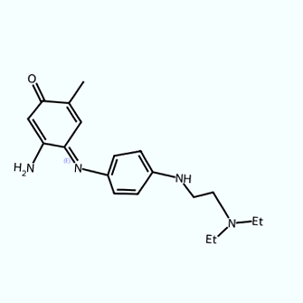 CCN(CC)CCNc1ccc(/N=C2\C=C(C)C(=O)C=C2N)cc1